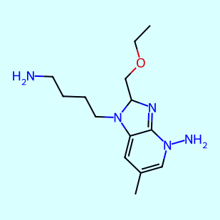 CCOCC1N=C2C(=CC(C)=CN2N)N1CCCCN